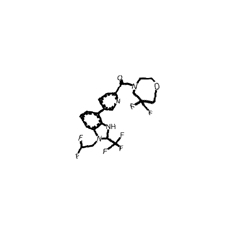 O=C(c1ccc(-c2cccc3c2NC(C(F)(F)F)N3CC(F)F)cn1)N1CCOCC(F)(F)C1